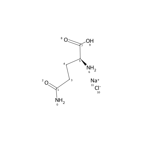 NC(=O)CC[C@H](N)C(=O)O.[Cl-].[Na+]